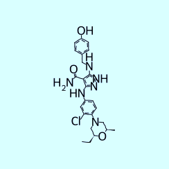 CC[C@H]1CN(c2ccc(Nc3n[nH]c(NCc4ccc(O)cc4)c3C(N)=O)cc2Cl)C[C@@H](C)O1